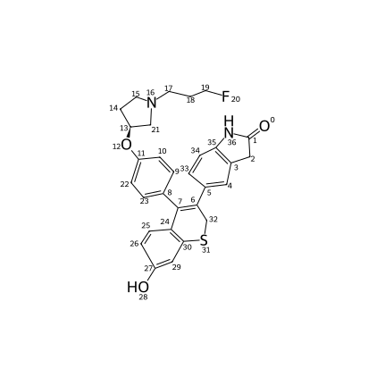 O=C1Cc2cc(C3=C(c4ccc(O[C@H]5CCN(CCCF)C5)cc4)c4ccc(O)cc4SC3)ccc2N1